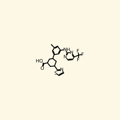 Cc1cc(Nc2nccc(C(F)(F)F)n2)cc(C2CC(C(=O)O)CC(c3nccs3)C2)c1